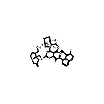 C#Cc1c(F)ccc2cccc(-c3nc4c5c(nc(OCC67CC(=C)CN6CCC7CO)nc5c3F)N3C[C@H]5CC[C@H](N5)[C@H]3[C@H](C)O4)c12